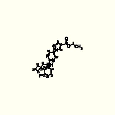 CCOC(=O)c1cnn(-c2cnc(NCC3(c4ncccc4F)CCC3)nc2)c1